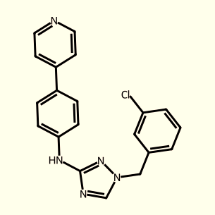 Clc1cccc(Cn2cnc(Nc3ccc(-c4ccncc4)cc3)n2)c1